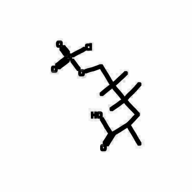 CC(CC(C)(C)C(C)(C)COS(=O)(=O)Cl)C(=O)O